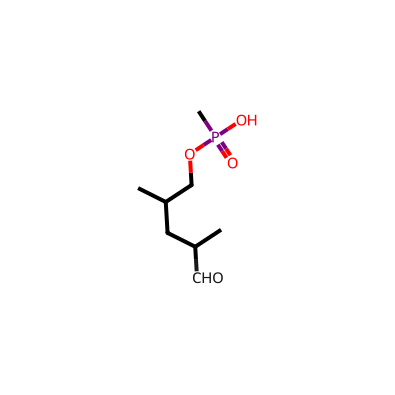 CC(C=O)CC(C)COP(C)(=O)O